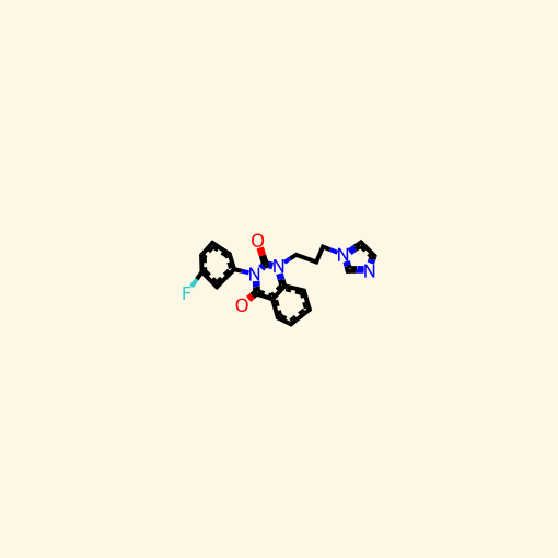 O=c1c2ccccc2n(CCCn2ccnc2)c(=O)n1-c1cccc(F)c1